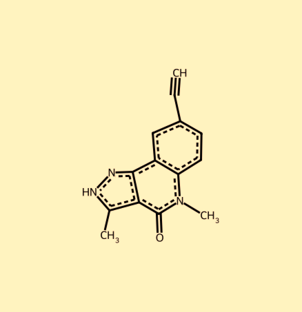 C#Cc1ccc2c(c1)c1n[nH]c(C)c1c(=O)n2C